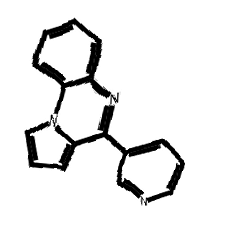 c1cncc(-c2nc3ccccc3n3cccc23)c1